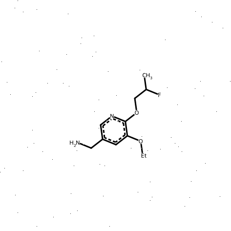 CCOc1cc(CN)cnc1OCC(C)F